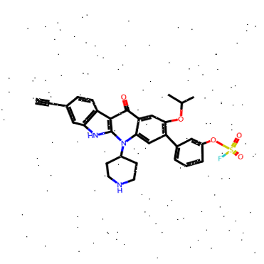 C#Cc1ccc2c(c1)[nH]c1c2c(=O)c2cc(OC(C)C)c(-c3cccc(OS(=O)(=O)F)c3)cc2n1C1CCNCC1